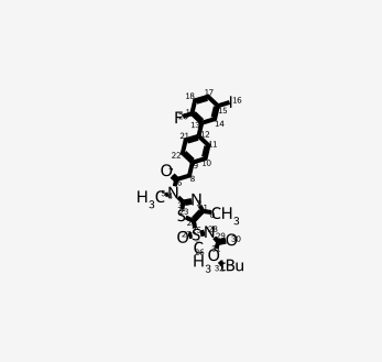 Cc1nc(N(C)C(=O)Cc2ccc(-c3cc(I)ccc3F)cc2)sc1S(C)(=O)=NC(=O)OC(C)(C)C